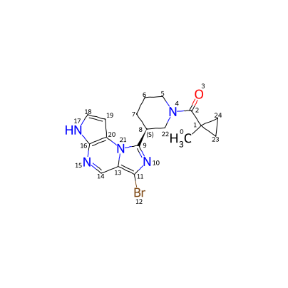 CC1(C(=O)N2CCC[C@H](c3nc(Br)c4cnc5[nH]ccc5n34)C2)CC1